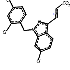 O=C(O)/C=C/c1nn(Cc2ccc(Cl)cc2Cl)c2cc(Cl)ccc12